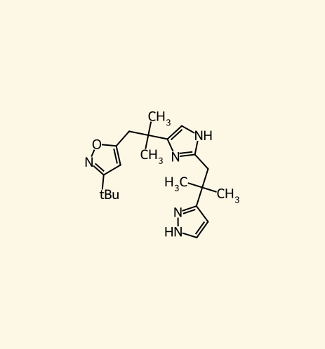 CC(C)(C)c1cc(CC(C)(C)c2c[nH]c(CC(C)(C)c3cc[nH]n3)n2)on1